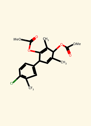 COC(=O)OC1=C(C)C(OC(=O)OC)C(C)=CC1c1ccc(Cl)c(C(F)(F)F)c1